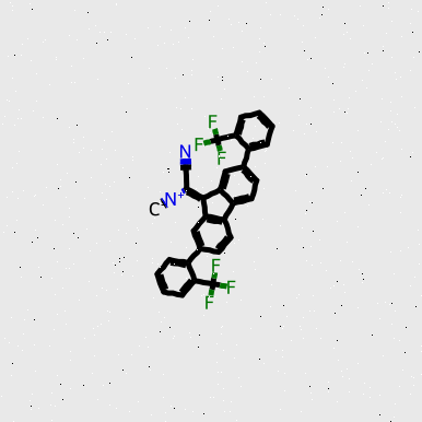 [C-]#[N+]C(C#N)=C1c2cc(-c3ccccc3C(F)(F)F)ccc2-c2ccc(-c3ccccc3C(F)(F)F)cc21